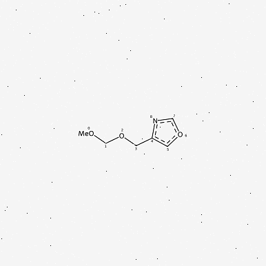 COCOCc1cocn1